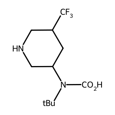 CC(C)(C)N(C(=O)O)C1CNCC(C(F)(F)F)C1